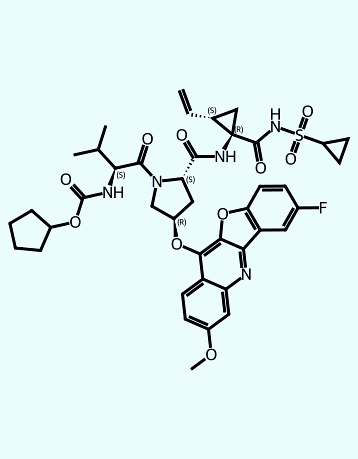 C=C[C@@H]1C[C@]1(NC(=O)[C@@H]1C[C@@H](Oc2c3ccc(OC)cc3nc3c2oc2ccc(F)cc23)CN1C(=O)[C@@H](NC(=O)OC1CCCC1)C(C)C)C(=O)NS(=O)(=O)C1CC1